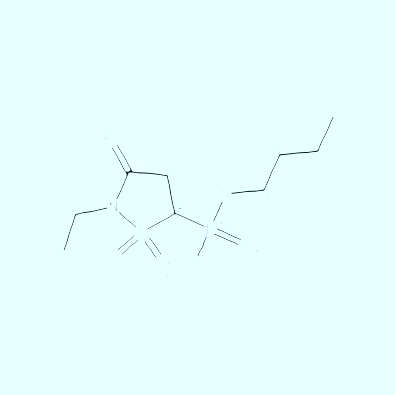 CCCCSP(=S)(S)C1CC(=O)N(CC)S1(=O)=O